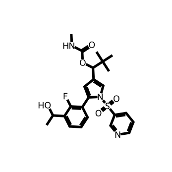 CNC(=O)OC(c1cc(-c2cccc(C(C)O)c2F)n(S(=O)(=O)c2cccnc2)c1)C(C)(C)C